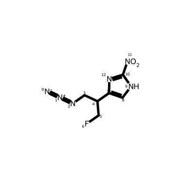 [N-]=[N+]=NCC(CF)c1c[nH]c([N+](=O)[O-])n1